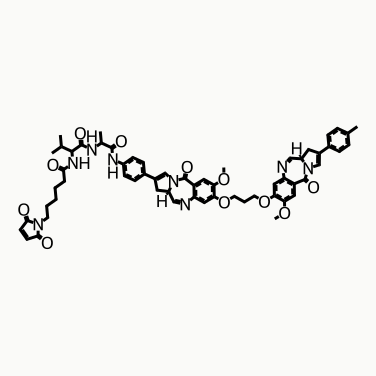 COc1cc2c(cc1OCCCOc1cc3c(cc1OC)C(=O)N1C=C(c4ccc(NC(=O)C(C)NC(=O)C(NC(=O)CCCCCN5C(=O)C=CC5=O)C(C)C)cc4)C[C@H]1C=N3)N=C[C@@H]1CC(c3ccc(C)cc3)=CN1C2=O